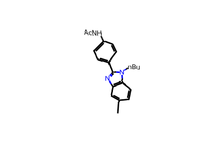 CCCCn1c(-c2ccc(NC(C)=O)cc2)nc2cc(C)ccc21